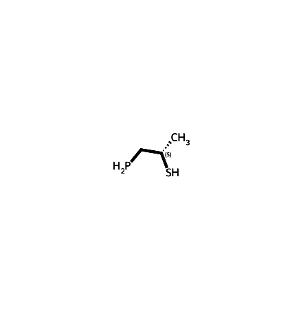 C[C@H](S)CP